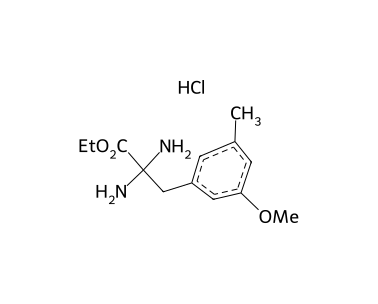 CCOC(=O)C(N)(N)Cc1cc(C)cc(OC)c1.Cl